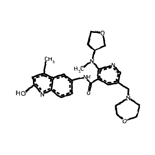 Cc1cc(O)nc2ccc(NC(=O)c3cc(CN4CCOCC4)cnc3N(C)C3CCOC3)cc12